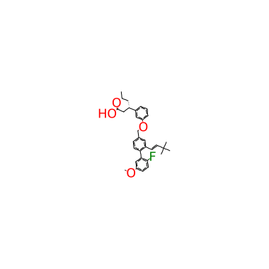 CCC[C@@H](CC(=O)O)c1cccc(OCc2ccc(-c3cc(OC)ccc3F)c(C=CC(C)(C)C)c2)c1